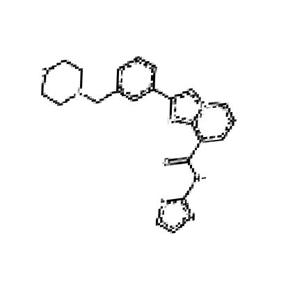 O=C(Nc1nccs1)c1cccn2cc(-c3cccc(CN4CCOCC4)c3)nc12